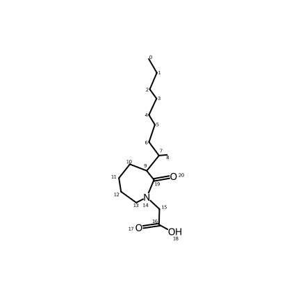 CCCCCCCC(C)C1CCCCN(CC(=O)O)C1=O